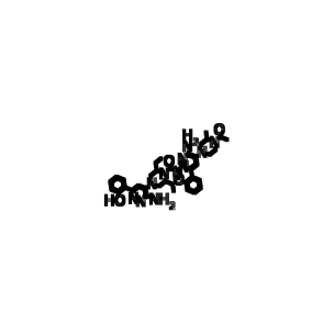 CCC1CN(c2cc(-c3ccccc3O)nnc2N)CC(CC)N1C(=O)N(C)Oc1ccccc1-c1cc(N2CCN(C(C)=O)C(C)C2)c(N)nn1